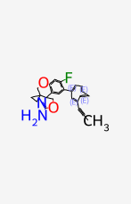 CC#CC1=C/C(c2cc3c(cc2F)OCC2(CC2)C32COC(N)=N2)=C\C=C\C=C\1